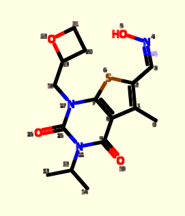 Cc1c(/C=N\O)sc2c1c(=O)n(C(C)C)c(=O)n2CC1CCO1